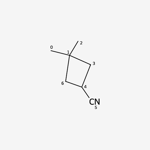 CC1(C)CC(C#N)C1